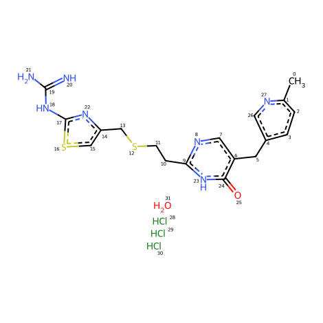 Cc1ccc(Cc2cnc(CCSCc3csc(NC(=N)N)n3)[nH]c2=O)cn1.Cl.Cl.Cl.O